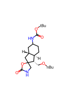 CCCCOC[C@H]1[C@@H]2CCC(NC(=O)OC(C)(C)C)C[C@H]2CC12CNC(=O)O2